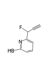 C#CC(F)c1cccc(BC)n1